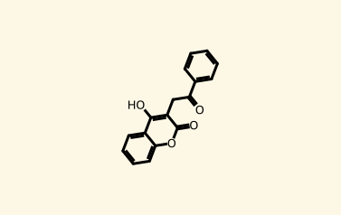 O=C(Cc1c(O)c2ccccc2oc1=O)c1ccccc1